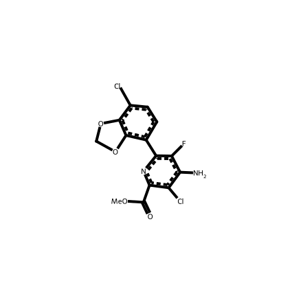 COC(=O)c1nc(-c2ccc(Cl)c3c2OCO3)c(F)c(N)c1Cl